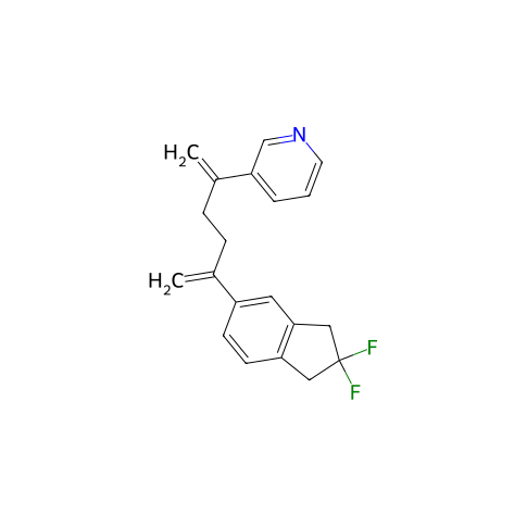 C=C(CCC(=C)c1ccc2c(c1)CC(F)(F)C2)c1cccnc1